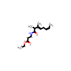 C/C=C\C/C=C(\C)C(C)C(=O)NCCC(=O)OCC